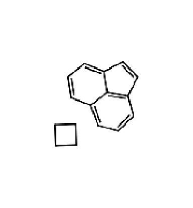 C1=Cc2cccc3cccc1c23.C1CCC1